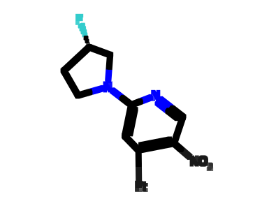 CCc1cc(N2CC[C@H](F)C2)ncc1[N+](=O)[O-]